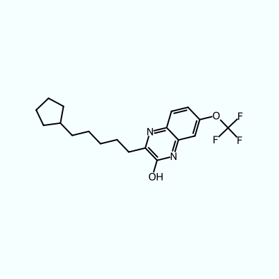 Oc1nc2cc(OC(F)(F)F)ccc2nc1CCCCCC1CCCC1